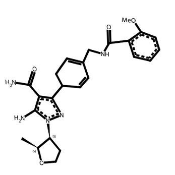 COc1ccccc1C(=O)NCC1=CCC(c2nn([C@H]3CCO[C@H]3C)c(N)c2C(N)=O)C=C1